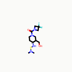 CN(C)SN[C@H]1CCN(C(=O)N2CC(F)(F)C2)CC1CO